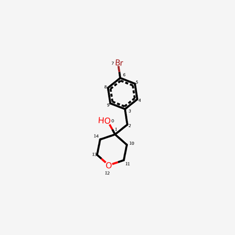 OC1(Cc2ccc(Br)cc2)CCOCC1